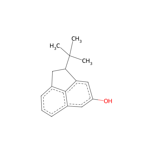 CC(C)(C)C1Cc2cccc3cc(O)cc1c23